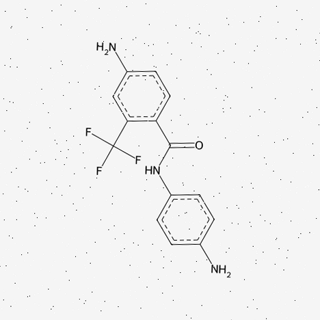 Nc1ccc(NC(=O)c2ccc(N)cc2C(F)(F)F)cc1